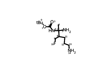 CC(C)(C)OC(=O)NC(C)(N)C(CF)CCCN